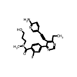 CCc1ncnc(-c2ccc(C(=O)N(C)CCCO)c(F)c2)c1C#Cc1ccc(N)nc1